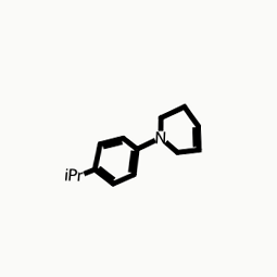 CC(C)c1ccc(N2CC=CCC2)cc1